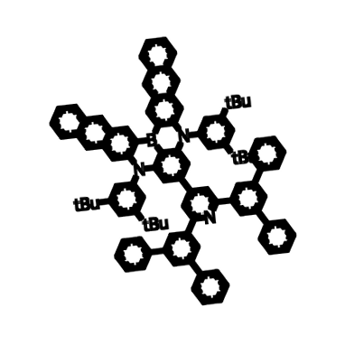 CC(C)(C)c1cc(N2c3cc4cc5ccccc5cc4cc3B3c4cc5cc6ccccc6cc5cc4N(c4cc(C(C)(C)C)cc(C(C)(C)C)c4)c4cc(-c5cc(-c6cc(-c7ccccc7)cc(-c7ccccc7)c6)nc(-c6cc(-c7ccccc7)cc(-c7ccccc7)c6)c5)cc2c43)cc(C(C)(C)C)c1